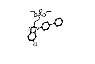 CCOP(=O)(CCc1nc2ccc(Cl)cc2n1-c1ccc(-c2ccccc2)cc1)OCC